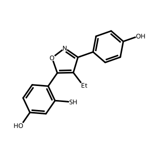 CCc1c(-c2ccc(O)cc2)noc1-c1ccc(O)cc1S